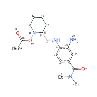 CCN(CC)C(=O)c1ccc(NC[C@H]2CCCCN2OC(=O)C(C)(C)C)c(N)c1